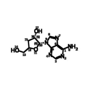 Nc1ncnc2c1ncn2[C@@H]1OC(CO)C[C@@H]1O